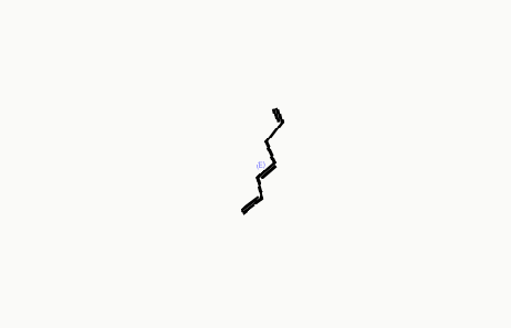 C=C/C=C/CC=C